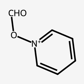 O=CO[n+]1ccccc1